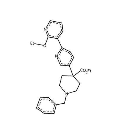 CCOC(=O)C1(c2ccc(-c3cccnc3OCC)nc2)CCN(Cc2ccccc2)CC1